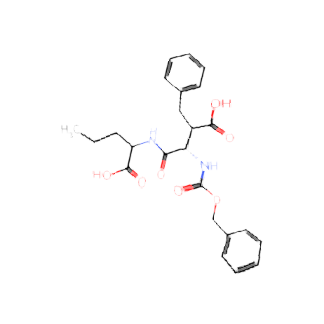 CCCC(NC(=O)[C@@H](NC(=O)OCc1ccccc1)C(Cc1ccccc1)C(=O)O)C(=O)O